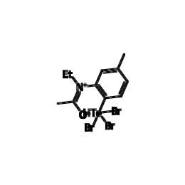 CC[N+]1=C(C)O[TeH](Br)(Br)(Br)c2ccc(C)cc21